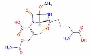 COC1(NC(=O)CCCC(N)C(=O)O)C(=O)N2C(C(=O)O)=C(COC(N)=O)CS[C@H]21